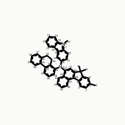 Cc1ccc2c(c1)C(C)(C)c1cc(N(c3ccc4c(c3)c3ccccc3n4C)c3cccc4c3CCc3ccccc3-4)c3ccccc3c1-2